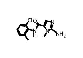 Cc1cccc(Cl)c1NC(=O)c1cnc(N)n1C